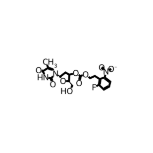 Cc1cn([C@H]2CC(OC(=O)OCCc3c(F)cccc3[N+](=O)[O-])[C@@H](CO)O2)c(=O)[nH]c1=O